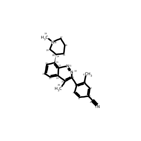 Cc1cc(C#N)ccc1-c1nnc2c([C@H]3CCCN(C)C3)cccc2c1C